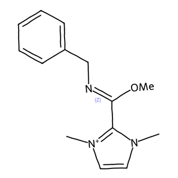 CO/C(=N\Cc1ccccc1)c1n(C)cc[n+]1C